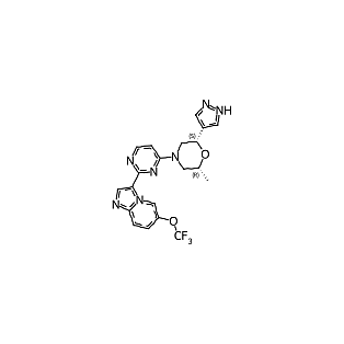 C[C@@H]1CN(c2ccnc(-c3cnc4ccc(OC(F)(F)F)cn34)n2)C[C@H](c2cn[nH]c2)O1